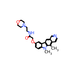 Cc1c2ccncc2cc2c3cc(OCC(=O)NCCN4CCOCC4)ccc3n(C)c12